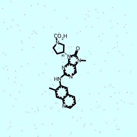 Cc1cc2ncccc2cc1Nc1ncc2c(n1)n([C@@H]1CCN(C(=O)O)C1)c(=O)n2C